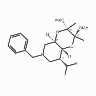 CO[C@@]1(C)O[C@@H]2[C@@H](C(F)F)CN(Cc3ccccc3)C[C@H]2O[C@]1(C)OC